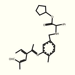 C/C=C(\C=C(\C)C=O)C(/C)=N/c1cc(CNC(CCC)C(=O)OC2CCCC2)ccc1C